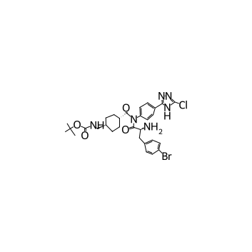 CC(C)(C)OC(=O)NC[C@H]1CC[C@H](C(=O)N(C(=O)[C@@H](N)Cc2ccc(Br)cc2)c2ccc(-c3nnc(Cl)[nH]3)cc2)CC1